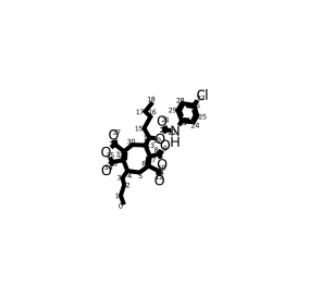 CCCCC1CC2=C(C(=O)OC2=O)C(C(CCCC)OC(=O)Nc2ccc(Cl)cc2)CC2=C1C(=O)OC2=O